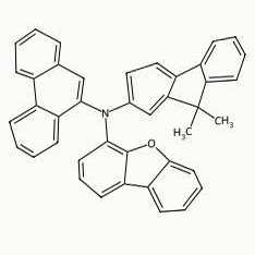 CC1(C)c2ccccc2-c2ccc(N(c3cc4ccccc4c4ccccc34)c3cccc4c3oc3ccccc34)cc21